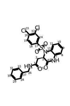 O=C(C[C@@H]1C(=O)Nc2ccccc2N1S(=O)(=O)c1ccc(Cl)c(Cl)c1)NCc1ccccc1